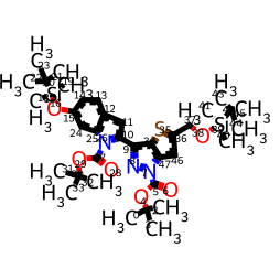 CC(C)(C)OC(=O)n1nc(-c2cc3ccc(O[Si](C)(C)C(C)(C)C)cc3n2C(=O)OC(C)(C)C)c2sc(CO[Si](C)(C)C(C)(C)C)cc21